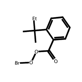 CCC(C)(C)c1ccccc1C(=O)OOBr